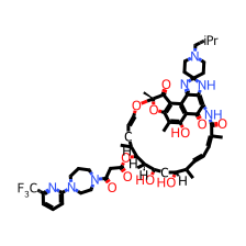 C/C1=C/C=C/C(C)[C@H](O)CC(O)[C@@H](C)[C@H](OC(=O)CC(=O)N2CCCN(c3cccc(C(F)(F)F)n3)CC2)[C@H](C)C/C=C/O[C@@]2(C)Oc3c(C)c(O)c4c(c3C2=O)C2=NC3(CCN(CC(C)C)CC3)NC2=C(NC1=O)C4=O